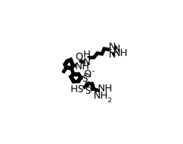 Cc1cccc(NC(=O)NCCCCCc2nn[nH]n2)c1-c1cccc([S+]([O-])c2cc(C(=N)N)sc2S)c1